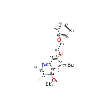 CCCCc1cc2c(OCC)c(I)c(C)nc2cc1OCCOc1ccccc1